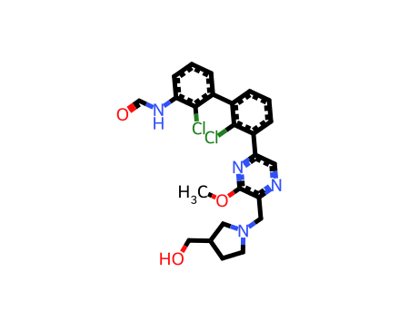 COc1nc(-c2cccc(-c3cccc(NC=O)c3Cl)c2Cl)cnc1CN1CCC(CO)C1